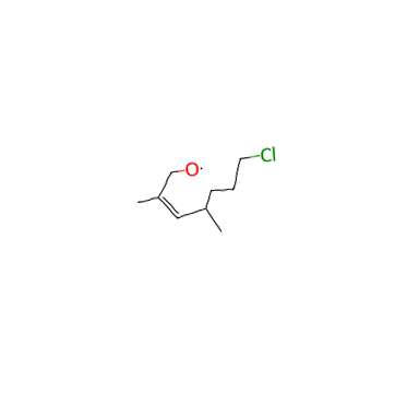 CC(=CC(C)CCCCl)C[O]